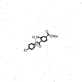 [CH2]Cc1ccc(NC(=O)c2ccc(C(=O)OC)cc2N)cc1